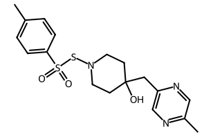 Cc1ccc(S(=O)(=O)SN2CCC(O)(Cc3cnc(C)cn3)CC2)cc1